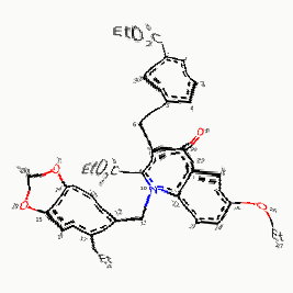 CCOC(=O)c1cccc(Cc2c(C(=O)OCC)n(Cc3cc4c(cc3CC)OCO4)c3ccc(OCC)cc3c2=O)c1